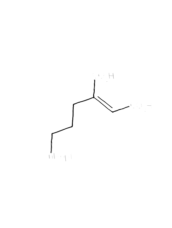 CCCCCCCCCCC(=CC(=O)O)C(=O)O